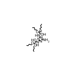 CCCCOC(OCCCC)C(O)Nc1nc(N)nc(NC(O)C(OCCCC)OCCCC)n1